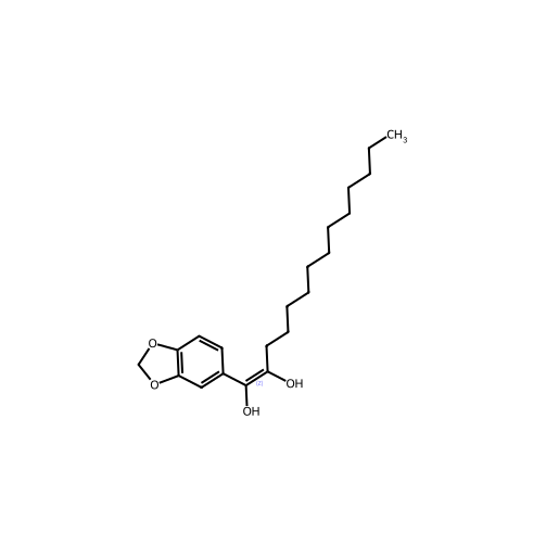 CCCCCCCCCCCC/C(O)=C(/O)c1ccc2c(c1)OCO2